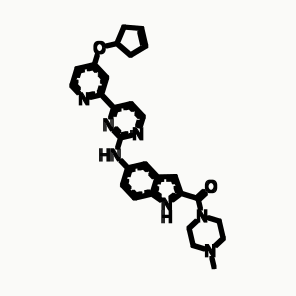 CN1CCN(C(=O)c2cc3cc(Nc4nccc(-c5cc(OC6CC=CC6)ccn5)n4)ccc3[nH]2)CC1